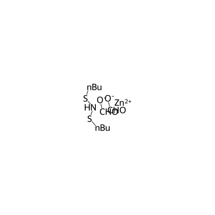 CCCCSNSCCCC.O=C[O-].O=C[O-].[Zn+2]